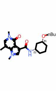 CCCCO[C@@H]1CCC[C@H](NC(=O)c2cn(C)c3c(C)cn(C)c(=O)c23)C1